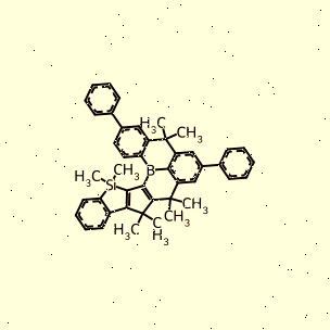 CC1(C)C2=C(C3=C1C(C)(C)c1cc(-c4ccccc4)cc4c1B3c1ccc(-c3ccccc3)cc1C4(C)C)[Si](C)(C)c1ccccc12